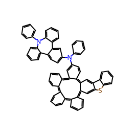 c1ccc(N(c2ccc3c(c2)-c2ccccc2N(c2ccccc2)c2ccccc2-3)c2ccc3c(c2)c2ccccc2c2ccccc2c2ccccc2c2cc4sc5ccccc5c4cc32)cc1